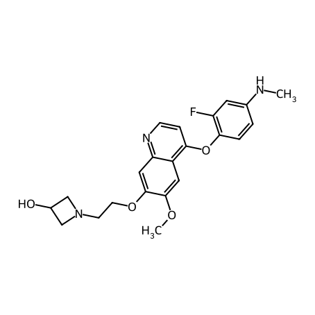 CNc1ccc(Oc2ccnc3cc(OCCN4CC(O)C4)c(OC)cc23)c(F)c1